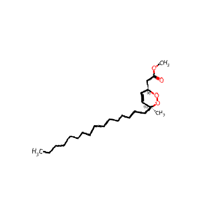 CCCCCCCCCCCCCCCC[C@@]1(C)C=C[C@@H](CC(=O)OC)OO1